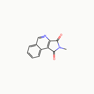 CN1C(=O)c2ncc3ccccc3c2C1=O